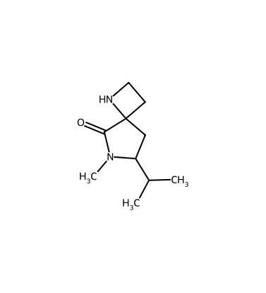 CC(C)C1CC2(CCN2)C(=O)N1C